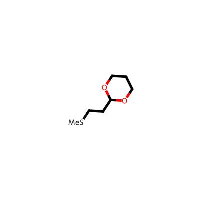 CSCCC1OCCCO1